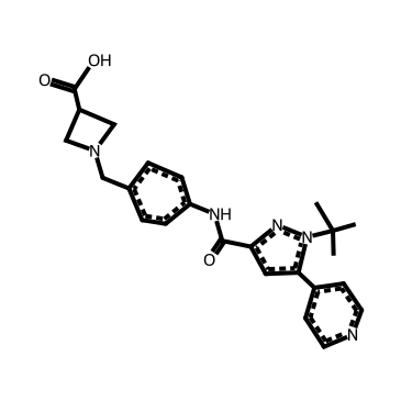 CC(C)(C)n1nc(C(=O)Nc2ccc(CN3CC(C(=O)O)C3)cc2)cc1-c1ccncc1